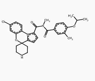 Cc1cc(C(=O)N(C)C(=O)c2ccc3n2-c2ccc(Cl)cc2OC32CCNCC2)ccc1OC(C)C